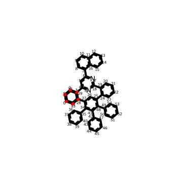 c1ccc(-c2cc(-c3cccc4ccccc34)nc(-c3ccccc3-c3cc(-c4ccccc4)c(-c4ccccc4)c(-c4ccccc4)c3-c3ccccc3)n2)cc1